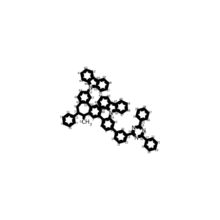 CC1c2cc(-c3ccc(-c4cccc(-c5nc(-c6ccccc6)nc(-c6ccccc6)n5)c4)cc3-n3c4ccccc4c4ccccc43)ccc2-c2cc(-n3c4ccccc4c4ccccc43)ccc2CC1c1ccccc1